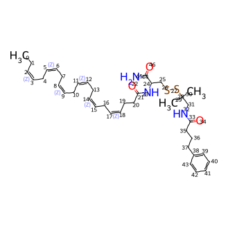 CC/C=C\C/C=C\C/C=C\C/C=C\C/C=C\C/C=C\CCC(=O)NC(CSSC(C)(C)CNC(=O)CCCc1ccccc1)C(N)=O